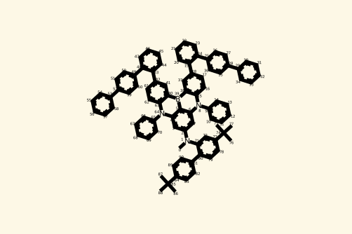 CN(c1cc2c3c(c1)N(c1ccccc1)c1ccc(-c4ccccc4-c4ccc(-c5ccccc5)cc4)cc1B3c1cc(-c3ccccc3-c3ccc(-c4ccccc4)cc3)ccc1N2c1ccccc1)c1cc(C(C)(C)C)ccc1-c1ccc(C(C)(C)C)cc1